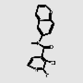 CN(C(=O)c1ccnc(Cl)c1Cl)c1ccc2ncccc2c1